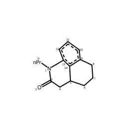 CCCN1C(=O)CC2CCCc3cccc1c32